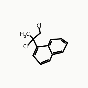 CC(Cl)(CCl)c1cccc2ccccc12